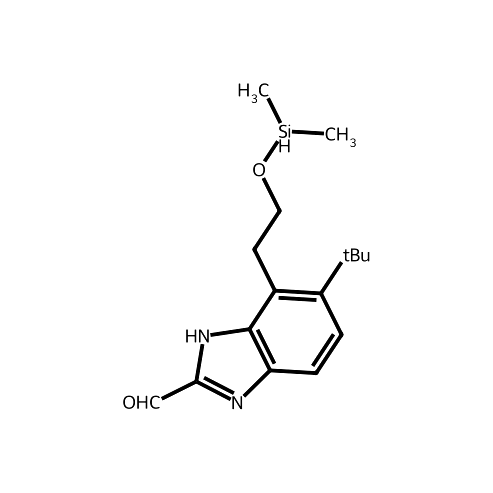 C[SiH](C)OCCc1c(C(C)(C)C)ccc2nc(C=O)[nH]c12